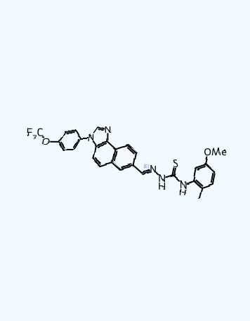 COc1ccc(C)c(NC(=S)N/N=C/c2ccc3c(ccc4c3ncn4-c3ccc(OC(F)(F)F)cc3)c2)c1